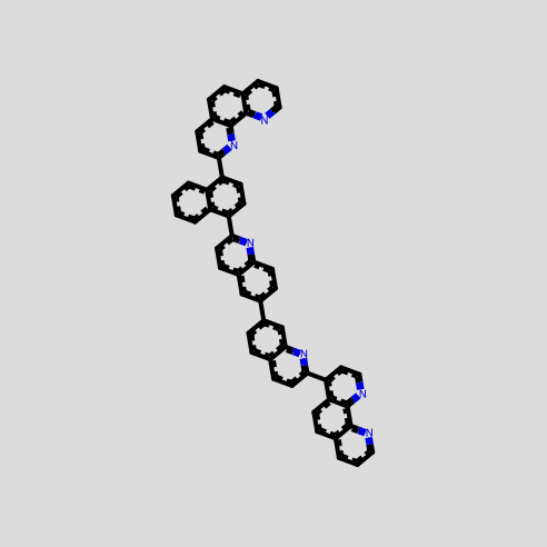 c1cnc2c(c1)ccc1ccc(-c3ccc(-c4ccc5cc(-c6ccc7ccc(-c8ccnc9c8ccc8cccnc89)nc7c6)ccc5n4)c4ccccc34)nc12